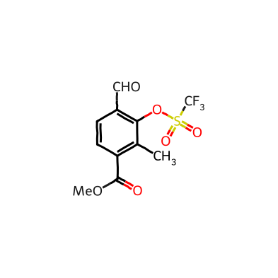 COC(=O)c1ccc(C=O)c(OS(=O)(=O)C(F)(F)F)c1C